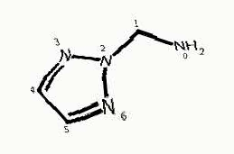 NCn1nccn1